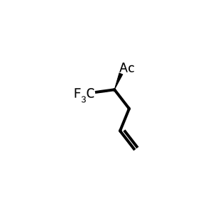 [CH2]C(=O)[C@@H](CC=C)C(F)(F)F